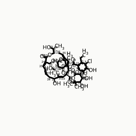 CCc1c(Cl)c(O)c(Cl)c(O)c1C(=O)O[C@H]1[C@H](O)[C@H](CO)[C@H](OC/C2=C\C=C\C[C@H](O)/C(C)=C/[C@H](CC)[C@@H](O[C@@H]3OC(C)(C)[C@@H](O)[C@H](O)[C@@H]3O)/C(C)=C/C(C)=C/C[C@@H]([C@@H](C)O)OC2=O)O[C@@H]1C